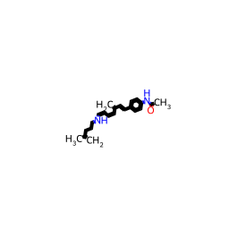 C=C(/C=C\C=C/NCCCC(=C)C)/C=C/c1ccc(NC(C)=O)cc1